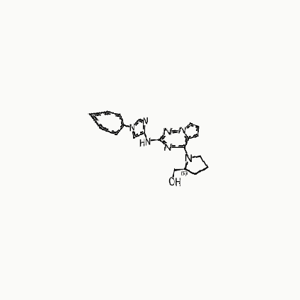 OC[C@@H]1CCCN1c1nc(Nc2cn(-c3ccccc3)cn2)nn2cccc12